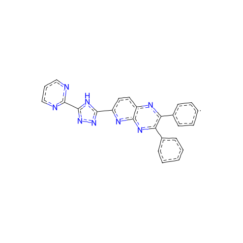 [c]1ccc(-c2nc3ccc(-c4nnc(-c5ncccn5)[nH]4)nc3nc2-c2ccccc2)cc1